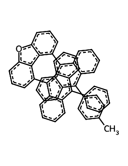 Cc1ccc(-c2c3ccccc3c(-c3cccc4oc5cccc(-c6c7ccccc7c(-c7ccccc7)c7ccccc67)c5c34)c3ccccc23)cc1